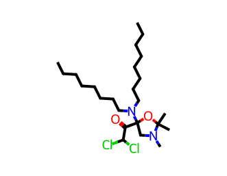 CCCCCCCCN(CCCCCCCC)C1(C(=O)C(Cl)Cl)CN(C)C(C)(C)O1